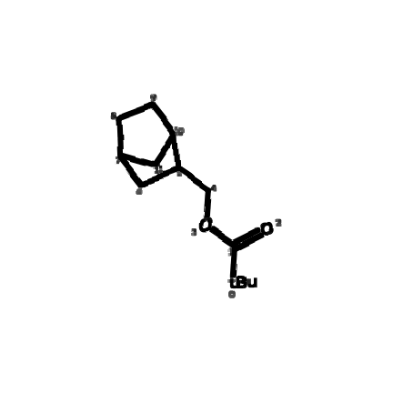 CC(C)(C)C(=O)OCC1CC2CCC1C2